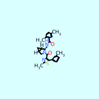 Cc1cccc(-c2sc(C)nc2C(=O)N2C[C@@H]3C[C@@H]3[C@H]2CNC(=O)c2cc(C)ccc2C)c1